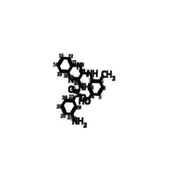 Cc1ccc(O)cc1Nc1nc2ccccc2nc1NS(=O)(=O)c1cccc(N)c1